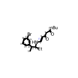 CCCCC(=O)CC(=O)/C=C/NC(CC)C(C)c1cccc(Br)c1